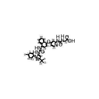 Cc1ccc(-n2nc(C(C)(C)C)cc2NC(=O)Nc2ccc(Oc3ccnc(NC(=O)NCC(=O)O)c3)c3ccccc23)cc1